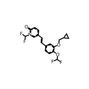 O=c1ccc(/C=C/c2ccc(OC(F)F)c(OCC3CC3)c2)cn1C(F)F